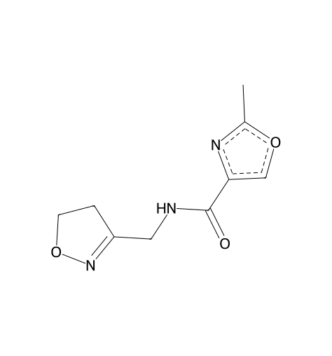 Cc1nc(C(=O)NCC2=NOCC2)co1